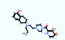 CCCN(CCN1CCN(C(=O)c2[nH]ccc(=O)c2O)CC1)[C@H]1CCc2c(O)cccc2C1